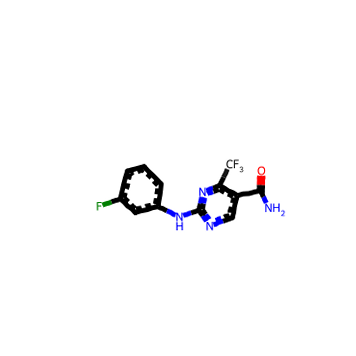 NC(=O)c1cnc(Nc2cccc(F)c2)nc1C(F)(F)F